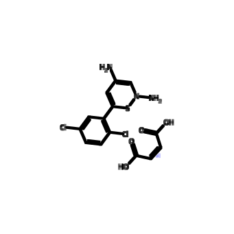 NC1=CN(N)SC(c2cc(Cl)ccc2Cl)=C1.O=C(O)/C=C\C(=O)O